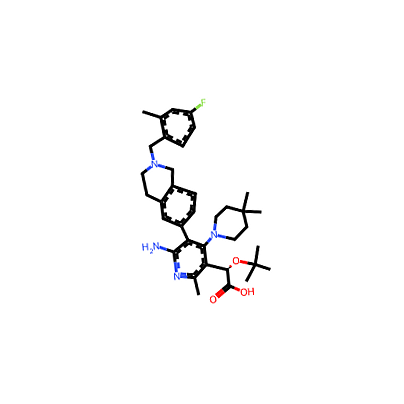 Cc1cc(F)ccc1CN1CCc2cc(-c3c(N)nc(C)c([C@H](OC(C)(C)C)C(=O)O)c3N3CCC(C)(C)CC3)ccc2C1